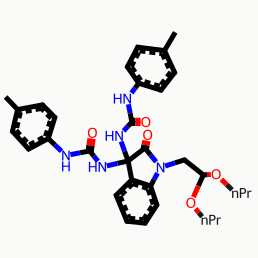 CCCOC(CN1C(=O)C(NC(=O)Nc2ccc(C)cc2)(NC(=O)Nc2ccc(C)cc2)c2ccccc21)OCCC